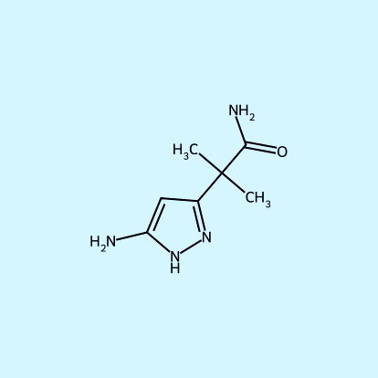 CC(C)(C(N)=O)c1cc(N)[nH]n1